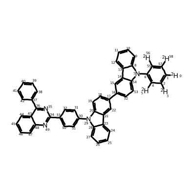 [2H]c1c([2H])c([2H])c(-n2c3ccccc3c3cc(-c4ccc5c(c4)c4ccccc4n5-c4ccc(-c5nc(-c6ccccc6)c6ccccc6n5)cc4)ccc32)c([2H])c1[2H]